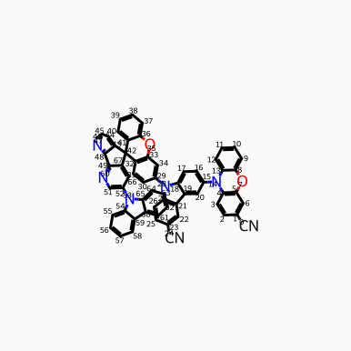 N#Cc1ccc2c(c1)Oc1ccccc1N2c1ccc2c(c1)c1cc(C#N)ccc1n2-c1ccc2c(c1)Oc1ccccc1C21c2cccnc2-c2ncc(-n3c4ccccc4c4ccccc43)cc21